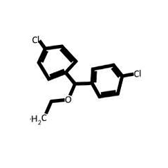 [CH2]COC(c1ccc(Cl)cc1)c1ccc(Cl)cc1